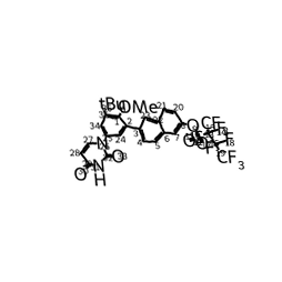 COc1c(-c2ccc3cc(OS(=O)(=O)C(F)(C(F)(F)F)C(F)(F)C(F)(F)F)ccc3c2)cc(-n2ccc(=O)[nH]c2=O)cc1C(C)(C)C